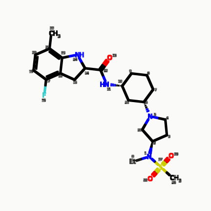 CCN([C@@H]1CCN([C@H]2CCC[C@@H](NC(=O)C3Cc4c(F)ccc(C)c4N3)C2)C1)S(C)(=O)=O